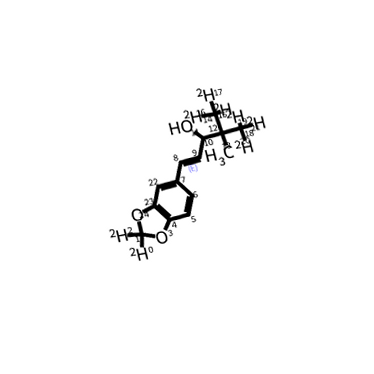 [2H]C1([2H])Oc2ccc(/C=C/C(O)C(C)(C([2H])([2H])[2H])C([2H])([2H])[2H])cc2O1